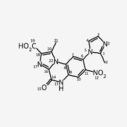 Cc1nccn1-c1cc2c(cc1[N+](=O)[O-])[nH]c(=O)c1nc(C(=O)O)c(C)n12